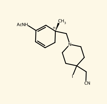 CC(=O)NC1=C[C@](C)(CN2CCC(I)(CC#N)CC2)CC=C1